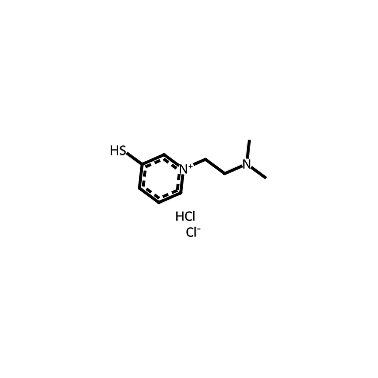 CN(C)CC[n+]1cccc(S)c1.Cl.[Cl-]